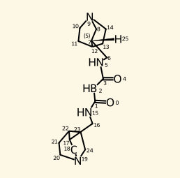 O=C(BC(=O)NC[C@H]1CN2CCC1CC2)NCC1CN2CCC1CC2